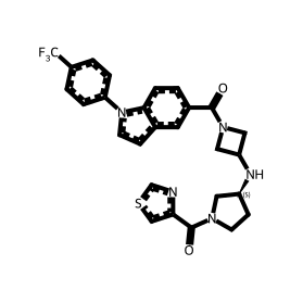 O=C(c1ccc2c(ccn2-c2ccc(C(F)(F)F)cc2)c1)N1CC(N[C@H]2CCN(C(=O)c3cscn3)C2)C1